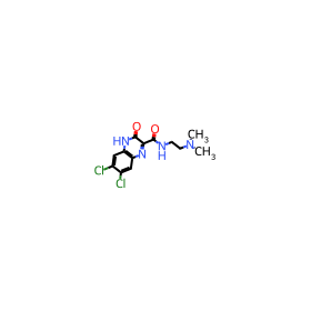 CN(C)CCNC(=O)c1nc2cc(Cl)c(Cl)cc2[nH]c1=O